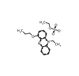 CCCOc1cccc2c1nc1ccccc1[n+]2CC.CCOS(=O)(=O)[O-]